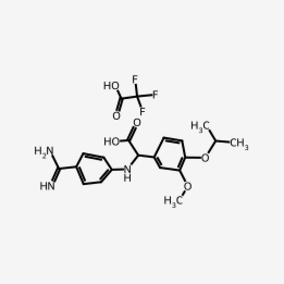 COc1cc(C(Nc2ccc(C(=N)N)cc2)C(=O)O)ccc1OC(C)C.O=C(O)C(F)(F)F